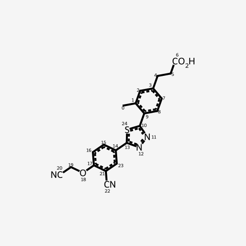 Cc1cc(CCC(=O)O)ccc1-c1nnc(-c2ccc(OCC#N)c(C#N)c2)s1